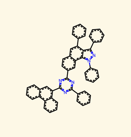 c1ccc(-c2nc(-c3ccc4cc(-c5ccccc5)c5c(-c6ccccc6)nn(-c6ccccc6)c5c4c3)nc(-c3cc4ccccc4c4ccccc34)n2)cc1